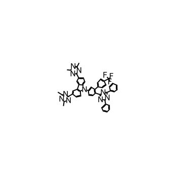 Cc1nc(C)nc(-c2ccc3c(c2)c2cc(-c4nc(C)nc(C)n4)ccc2n3-c2ccc(-c3nc(-c4ccccc4)nc(-c4ccccc4)n3)c(-c3ccc(C(F)(F)F)cc3)c2)n1